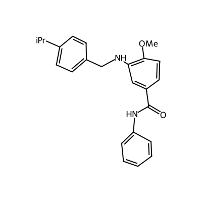 COc1ccc(C(=O)Nc2ccccc2)cc1NCc1ccc(C(C)C)cc1